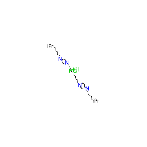 CC(C)CCCCCN=c1ccn(CCCCCCCCCCn2ccc(=NCCCCCC(C)C)cc2)cc1.Cl.Cl